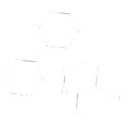 C1CCC(C2CCCCC2)CC1.CC(O)CO.CCOCC